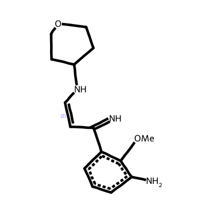 COc1c(N)cccc1C(=N)/C=C\NC1CCOCC1